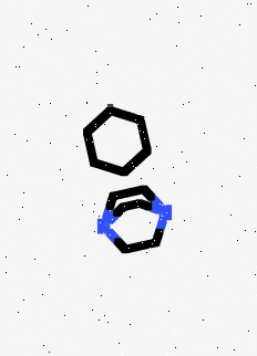 C1CN2CCN1CC2.[CH]1CCCCC1